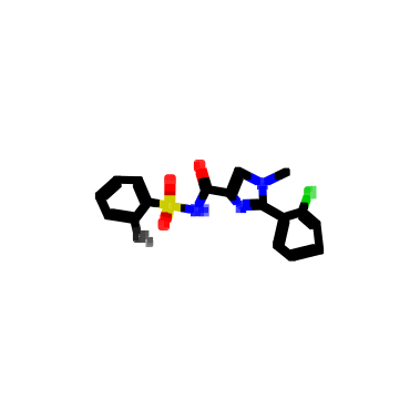 Cn1cc(C(=O)NS(=O)(=O)c2ccccc2C(F)(F)F)nc1-c1ccccc1Cl